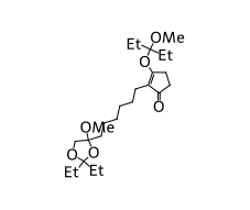 CCC(CC)(OC)OC1=C(CCCCCCC2(OC)COC(CC)(CC)O2)C(=O)CC1